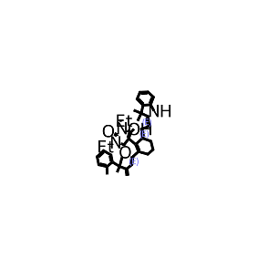 C=C(/C=C/C1=C(c2c(O)n(CC)c(=O)n(CC)c2=O)C(=C/C=C2/Nc3ccccc3C2(C)C)/CCC1)C(C)(C)c1ccccc1C